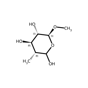 CO[C@H]1OC(O)[C@H](C)[C@@H](O)[C@@H]1O